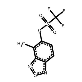 Cc1c(OS(=O)(=O)C(F)(F)F)ccc2nonc12